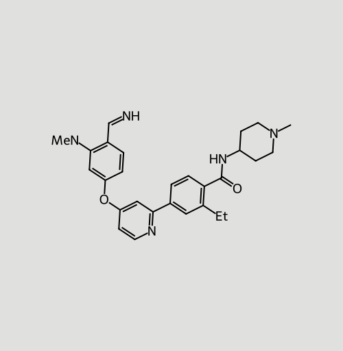 CCc1cc(-c2cc(Oc3ccc(C=N)c(NC)c3)ccn2)ccc1C(=O)NC1CCN(C)CC1